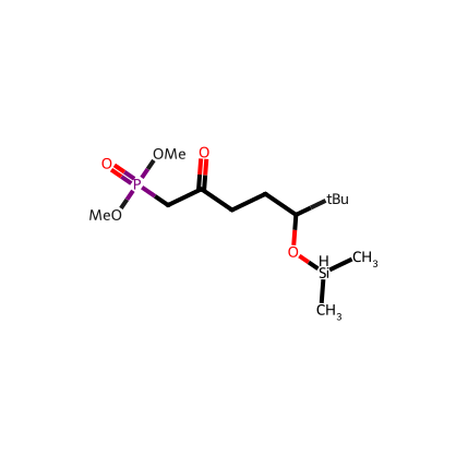 COP(=O)(CC(=O)CCC(O[SiH](C)C)C(C)(C)C)OC